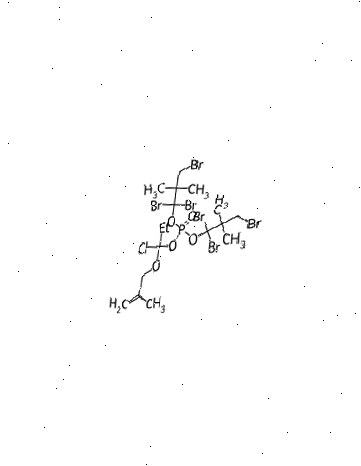 C=C(C)COC(Cl)(CC)OP(=O)(OC(Br)(Br)C(C)(C)CBr)OC(Br)(Br)C(C)(C)CBr